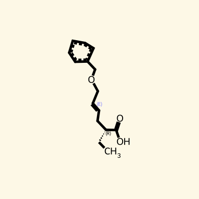 CC[C@H](C/C=C/COCc1ccccc1)C(=O)O